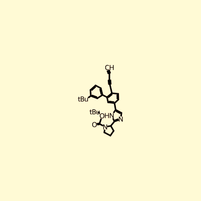 C#CC#Cc1ccc(-c2cnc(C3CCCN3C(=O)OC(C)(C)C)[nH]2)cc1-c1cccc(C(C)(C)C)c1